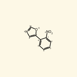 O=[N+]([O-])c1ccccc1-c1cnco1